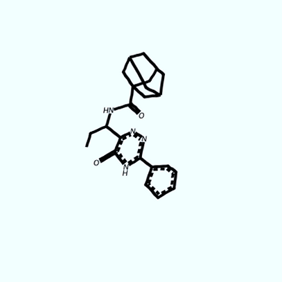 CCC(NC(=O)C12CC3CC(CC(C3)C1)C2)c1nnc(-c2ccccc2)[nH]c1=O